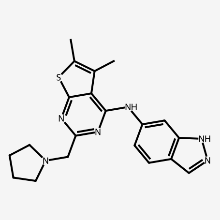 Cc1sc2nc(CN3CCCC3)nc(Nc3ccc4cn[nH]c4c3)c2c1C